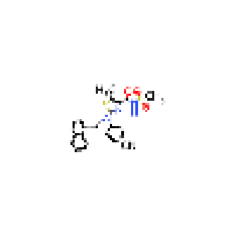 Cc1sc(N(CCc2cccc3ccccc23)c2ccc(C#N)cc2)nc1C(=O)NS(C)(=O)=O